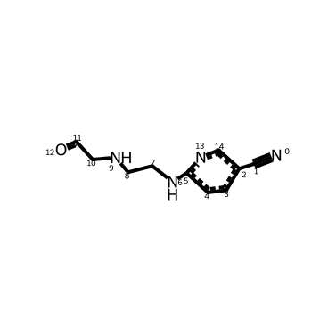 N#Cc1ccc(NCCNC[C]=O)nc1